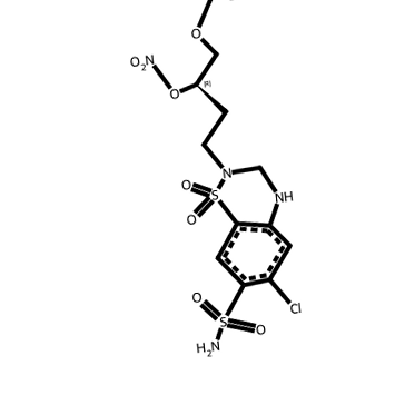 NS(=O)(=O)c1cc2c(cc1Cl)NCN(CC[C@H](CO[N+](=O)[O-])O[N+](=O)[O-])S2(=O)=O